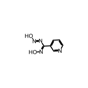 ON=NC(=NO)c1cccnc1